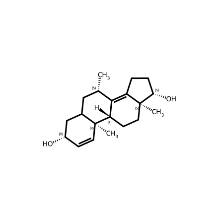 C[C@H]1CC2C[C@@H](O)C=C[C@]2(C)[C@H]2CC[C@@]3(C)C(=C12)CC[C@@H]3O